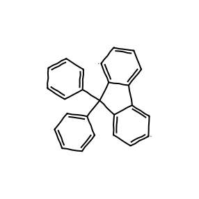 [c]1ccc2c(c1)-c1ccc[c]c1C2(c1ccccc1)c1ccccc1